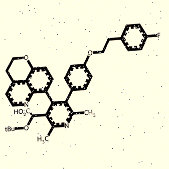 Cc1nc(C)c([C@H](OC(C)(C)C)C(=O)O)c(-c2ccc3c4c(ccnc24)CCO3)c1-c1ccc(OCCc2ccc(F)cc2)cc1